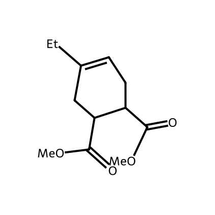 CCC1=CCC(C(=O)OC)C(C(=O)OC)C1